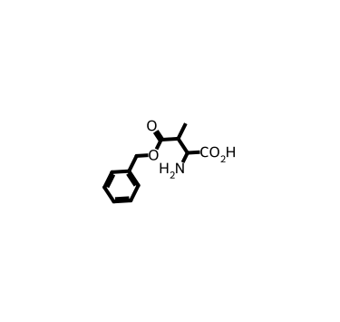 CC(C(=O)OCc1ccccc1)C(N)C(=O)O